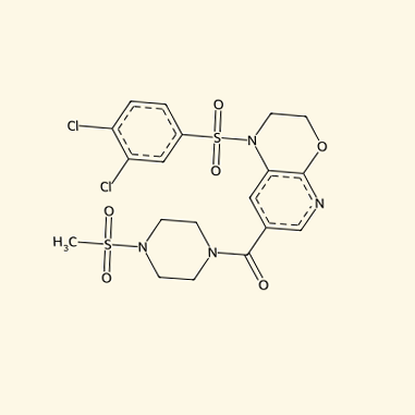 CS(=O)(=O)N1CCN(C(=O)c2cnc3c(c2)N(S(=O)(=O)c2ccc(Cl)c(Cl)c2)CCO3)CC1